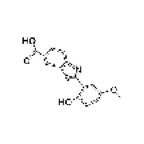 COc1ccc(O)c(-c2nc3ccc(C(=O)O)cc3s2)c1